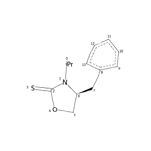 CC(C)N1C(=S)OC[C@@H]1Cc1ccccc1